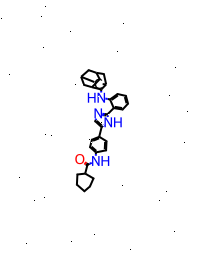 O=C(Nc1ccc(-c2cnc(-c3ccccc3NC3C4CC5CC(C4)CC3C5)[nH]2)cc1)C1CCCCC1